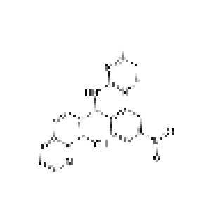 Cc1ccnc(NC(c2ccc([N+](=O)[O-])cc2)c2ccc3cccnc3c2O)n1